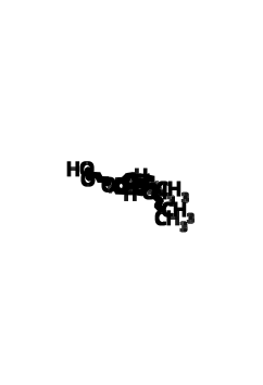 CC(C)CCC[C@@H](C)[C@H]1CC[C@H]2[C@@H]3CC=C4C[C@@H](OCCCC(=O)O)CC[C@]4(C)[C@H]3CC[C@]12C